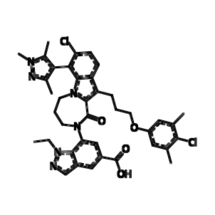 CCn1ncc2cc(C(=O)O)cc(N3CCCn4c(c(CCCOc5cc(C)c(Cl)c(C)c5)c5ccc(Cl)c(-c6c(C)nn(C)c6C)c54)C3=O)c21